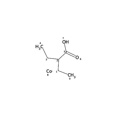 CCC(CC)C(=O)O.[Co]